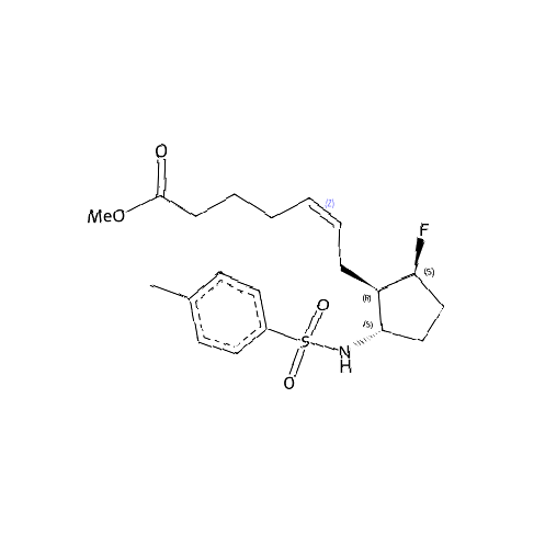 COC(=O)CCC/C=C\C[C@@H]1[C@@H](NS(=O)(=O)c2ccc(C)cc2)CC[C@@H]1F